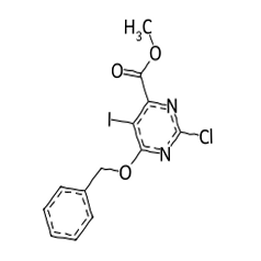 COC(=O)c1nc(Cl)nc(OCc2ccccc2)c1I